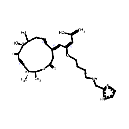 C=C(O)\C=C(/C=C1/C=C/CC(O)[C@H](O)C(=O)/C=C\[C@@H](C)C(C)OC(=O)C1)OCCCCNCc1ncc[nH]1